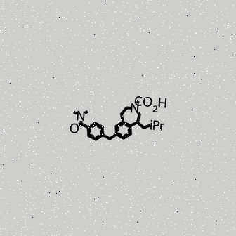 CC(C)CC1CN(C(=O)O)CCc2cc(Cc3ccc(C(=O)N(C)C)cc3)ccc21